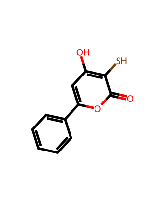 O=c1oc(-c2ccccc2)cc(O)c1S